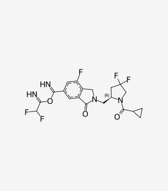 N=C(OC(=N)C(F)F)c1cc(F)c2c(c1)C(=O)N(C[C@H]1CC(F)(F)CN1C(=O)C1CC1)C2